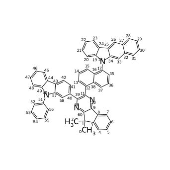 CC1(C)c2ccccc2-c2nc(-c3cccc4c(-n5c6ccccc6c6cc7ccccc7cc65)cccc34)c(-c3ccc4c5ccccc5n(-c5ccccc5)c4c3)nc21